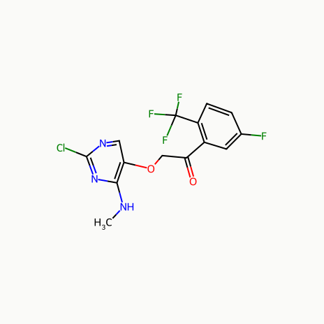 CNc1nc(Cl)ncc1OCC(=O)c1cc(F)ccc1C(F)(F)F